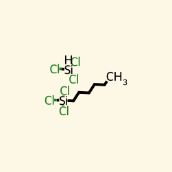 CCCCCC[Si](Cl)(Cl)Cl.Cl[SiH](Cl)Cl